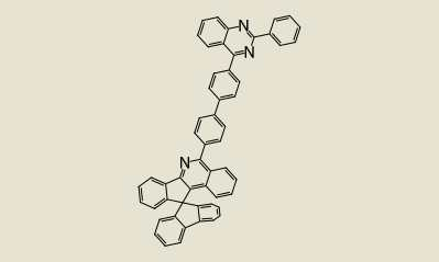 c1ccc(-c2nc(-c3ccc(-c4ccc(-c5nc6c(c7ccccc57)C5(c7ccccc7-c7ccccc75)c5ccccc5-6)cc4)cc3)c3ccccc3n2)cc1